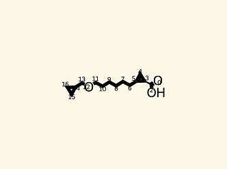 O=C(O)[C@@H]1C=C1CCCCCCOCC1CC1